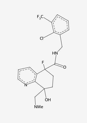 CNCC1(O)CCC(F)(C(=O)NCc2cccc(C(F)(F)F)c2Cl)c2cccnc21